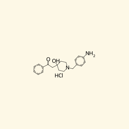 Cl.Nc1ccc(CN2CCC(O)(CC(=O)c3ccccc3)CC2)cc1